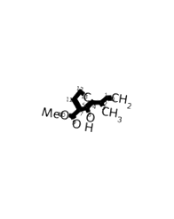 C=CC(C)C1=C(O)C(C(=O)OC)=C[CH]C1